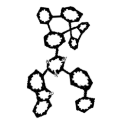 c1ccc(-c2cccc(-c3nc(-c4ccc5c(c4)C4(c6ccccc6-c6ccccc6-5)c5ccccc5-c5ccccc54)nc(-c4cccc5c4oc4ccccc45)n3)c2)cc1